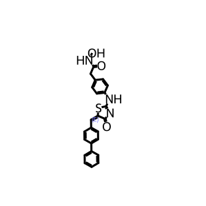 O=C(Cc1ccc(NC2=NC(=O)/C(=C\c3ccc(-c4ccccc4)cc3)S2)cc1)NO